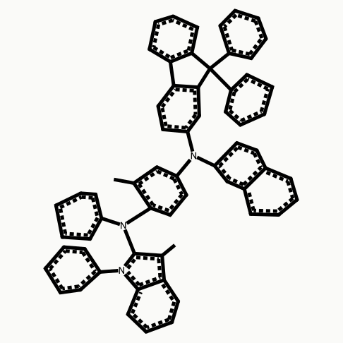 Cc1cc(N(c2ccc3c(c2)C(c2ccccc2)(c2ccccc2)c2ccccc2-3)c2ccc3ccccc3c2)ccc1N(c1ccccc1)c1c(C)c2ccccc2n1-c1ccccc1